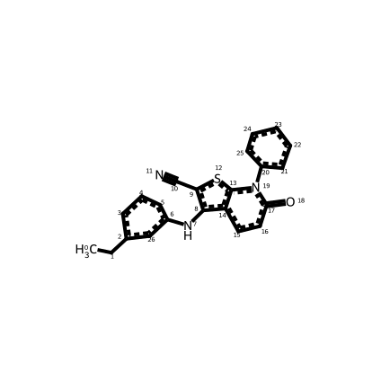 CCc1cccc(Nc2c(C#N)sc3c2ccc(=O)n3-c2ccccc2)c1